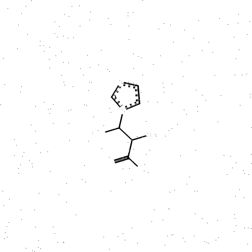 CC(C(N)C(=O)O)n1ccnc1